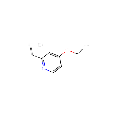 CCOC(=O)Cc1cc(OCC(F)(F)F)ccn1